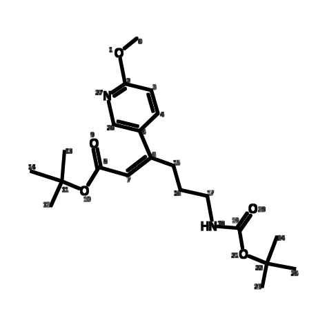 COc1ccc(/C(=C\C(=O)OC(C)(C)C)CCCNC(=O)OC(C)(C)C)cn1